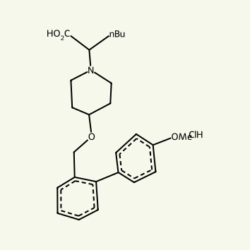 CCCCC(C(=O)O)N1CCC(OCc2ccccc2-c2ccc(OC)cc2)CC1.Cl